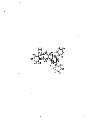 c1ccc(-c2nc(-c3ccccc3)c3sc4cc5[nH]c6ccccc6c5cc4c3n2)cc1